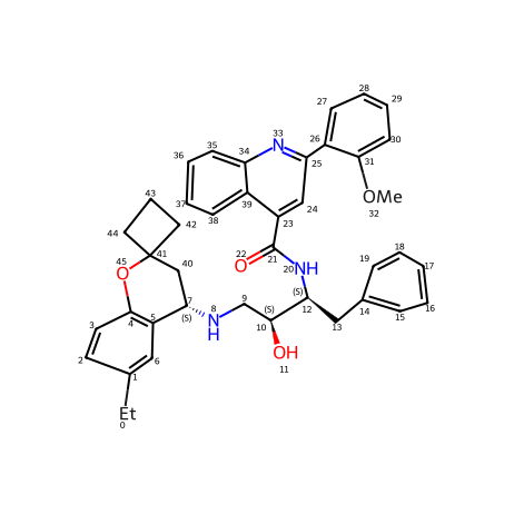 CCc1ccc2c(c1)[C@@H](NC[C@H](O)[C@H](Cc1ccccc1)NC(=O)c1cc(-c3ccccc3OC)nc3ccccc13)CC1(CCC1)O2